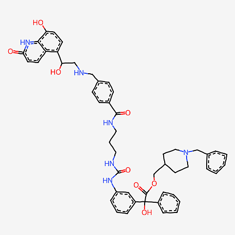 O=C(NCCCNC(=O)c1ccc(CNCC(O)c2ccc(O)c3[nH]c(=O)ccc23)cc1)Nc1cccc(C(O)(C(=O)OCC2CCN(Cc3ccccc3)CC2)c2ccccc2)c1